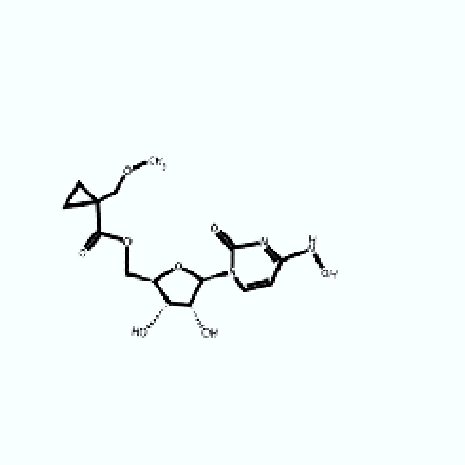 COCC1(C(=O)OC[C@H]2O[C@@H](n3ccc(NO)nc3=O)[C@H](O)[C@@H]2O)CC1